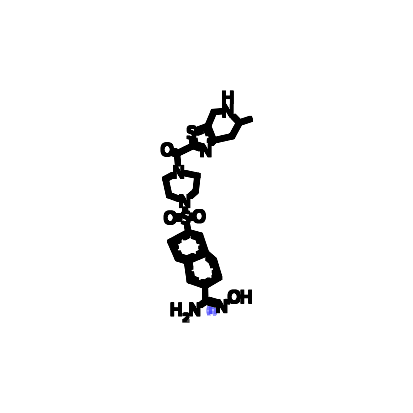 CC1Cc2nc(C(=O)N3CCN(S(=O)(=O)c4ccc5cc(/C(N)=N\O)ccc5c4)CC3)sc2CN1